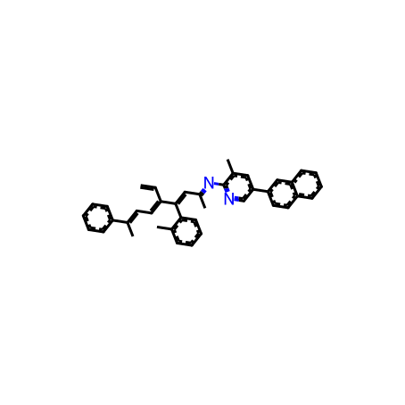 C=CC(=C\C=C(/C)c1ccccc1)/C(=C/C(C)=N/c1ncc(-c2ccc3ccccc3c2)cc1C)c1ccccc1C